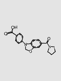 O=C(O)c1ccc(N2COc3cc(C(=O)N4CCCC4)ccc32)cc1